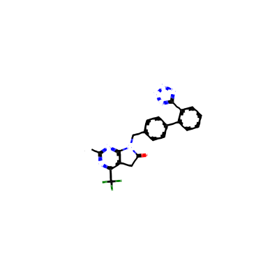 Cc1nc2c(c(C(F)(F)F)n1)CC(=O)N2Cc1ccc(-c2ccccc2-c2nnn[nH]2)cc1